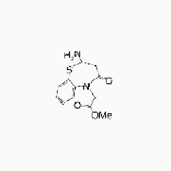 COC(=O)CN1C(=O)CC(N)Sc2ccccc21